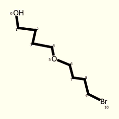 OCCCCOCCCCBr